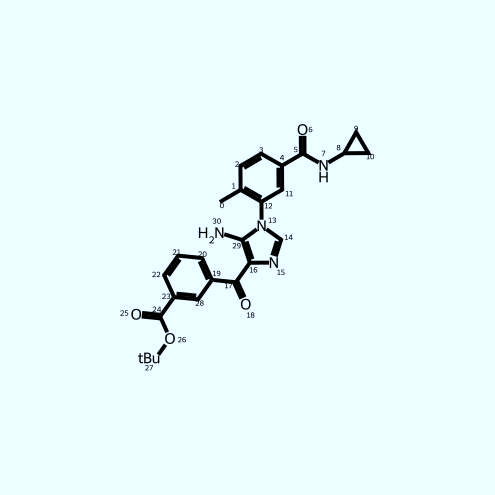 Cc1ccc(C(=O)NC2CC2)cc1-n1cnc(C(=O)c2cccc(C(=O)OC(C)(C)C)c2)c1N